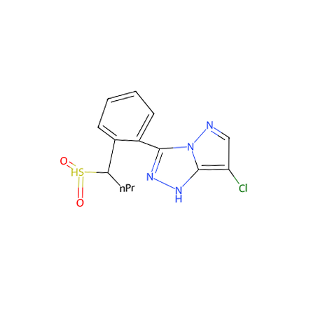 CCCC(c1ccccc1-c1n[nH]c2c(Cl)cnn12)[SH](=O)=O